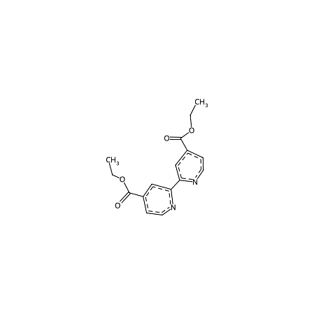 CCOC(=O)c1ccnc(-c2cc(C(=O)OCC)ccn2)c1